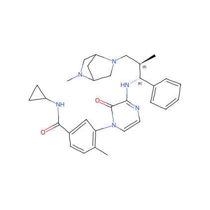 Cc1ccc(C(=O)NC2CC2)cc1-n1ccnc(N[C@@H](c2ccccc2)[C@H](C)CN2CC3CC2CN3C)c1=O